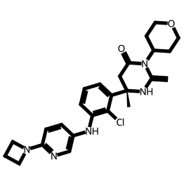 C=C1N[C@](C)(c2cccc(Nc3ccc(N4CCC4)nc3)c2Cl)CC(=O)N1C1CCOCC1